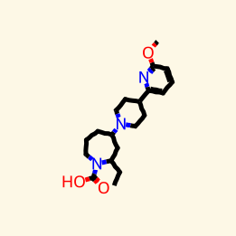 CCC1CC(N2CCC(c3cccc(OC)n3)CC2)CCCN1C(=O)O